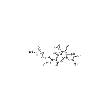 CC1CN(c2c(F)cc3c(=O)n(NC(=O)OC(C)(C)C)c(=O)n(C4CC4)c3c2Cl)CC1CNC(=O)OC(C)(C)C